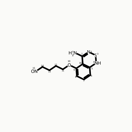 NC1=NSNc2cccc(OCCCCN=O)c21